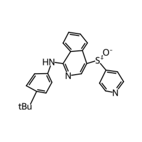 CC(C)(C)c1ccc(Nc2ncc([S+]([O-])c3ccncc3)c3ccccc23)cc1